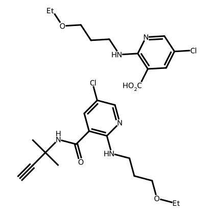 C#CC(C)(C)NC(=O)c1cc(Cl)cnc1NCCCOCC.CCOCCCNc1ncc(Cl)cc1C(=O)O